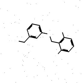 Cc1cccc(C)c1COc1cccc(CC=O)c1